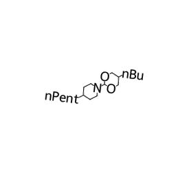 CCCCCC1CCN(C2OCC(CCCC)CO2)CC1